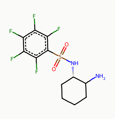 NC1CCCC[C@@H]1NS(=O)(=O)c1c(F)c(F)c(F)c(F)c1F